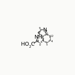 C[C@H](N)C(=O)O.c1ccc2scnc2c1